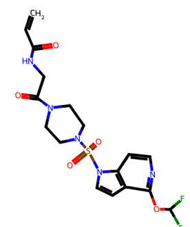 C=CC(=O)NCC(=O)N1CCN(S(=O)(=O)n2ccc3c(OC(F)F)nccc32)CC1